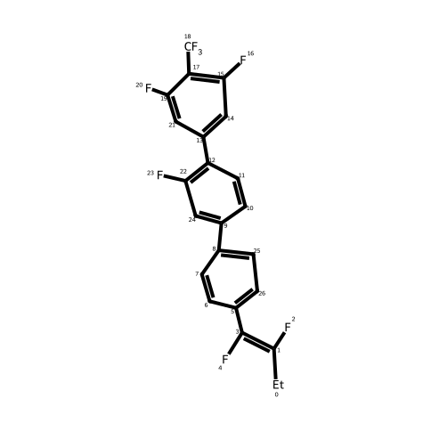 CC/C(F)=C(\F)c1ccc(-c2ccc(-c3cc(F)c(C(F)(F)F)c(F)c3)c(F)c2)cc1